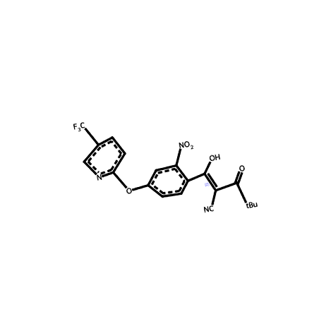 CC(C)(C)C(=O)/C(C#N)=C(\O)c1ccc(Oc2ccc(C(F)(F)F)cn2)cc1[N+](=O)[O-]